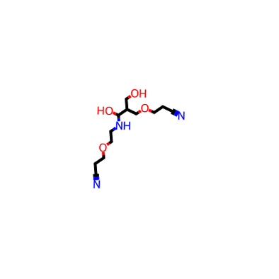 N#CCCOCCNC(O)C(CO)COCCC#N